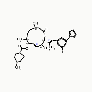 C/C(=C\c1cc(F)cc(-n2ccnc2)c1)[C@H]1OC(=O)C[C@H](O)CC[C@H](C)[C@@H](OC(=O)N2CCN(C)CC2)/C=C/[C@@H]1C